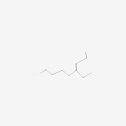 CCCCCCCCCCCCCCC(CBr)CCCCCCCCCCCC